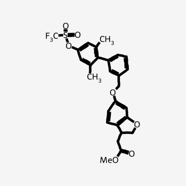 COC(=O)CC1COc2cc(OCc3cccc(-c4c(C)cc(OS(=O)(=O)C(F)(F)F)cc4C)c3)ccc21